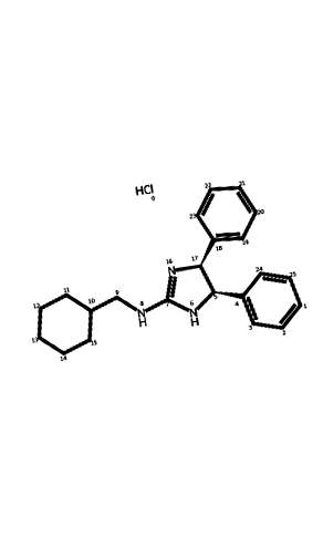 Cl.c1ccc([C@H]2NC(NCC3CCCCC3)=N[C@H]2c2ccccc2)cc1